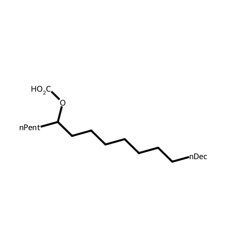 CCCCCCCCCCCCCCCCCC(CCCCC)OC(=O)O